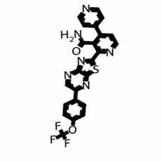 NC(=O)c1c(-c2ccncc2)ccnc1-c1nc2ncc(-c3ccc(OC(F)(F)F)cc3)nc2s1